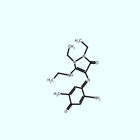 CCNc1c(N=C2C=C(C)C(=O)C=C2N)c(=O)n(CC)n1CC